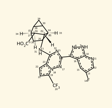 O=C(O)[C@@H]1[C@@H](Nc2nc(-c3n[nH]c4ncc(F)cc34)nn3c(C(F)(F)F)ccc23)[C@@H]2CC[C@H]1C1CC12